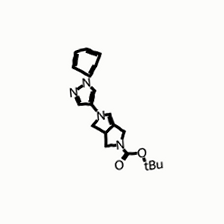 CC(C)(C)OC(=O)N1CC2=CN(c3cnn(-c4ccccc4)c3)CC2C1